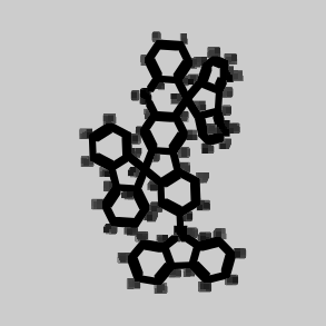 c1ccc2c(c1)Sc1cc3c(cc1C21c2cccnc2-c2ncccc21)-c1ccc(-n2c4ccccc4c4ccccc42)cc1C31c2ccccc2-c2ccccc21